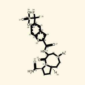 CC(=O)N1CC[C@H]2CC[C@@H](C(N)=O)N2C(=O)C(NC(=O)c2cc3cc(C(F)(F)P(=O)(O)O)ccc3s2)C1